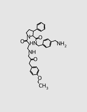 CCOc1ccc(CC(=O)CNCCC(=O)N2CCC(c3ccccc3)C2C(=O)NCc2ccc(CN)cc2)cc1